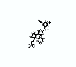 N#Cc1cc(F)cc(Nc2ncc(-c3cccc(C=CC(=O)O)c3)c(N3CCOCC3)n2)c1